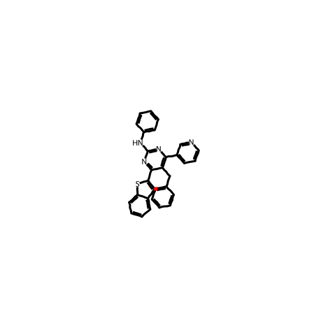 c1ccc(Cc2c(-c3cccnc3)nc(Nc3ccccc3)nc2-c2cc3ccccc3s2)cc1